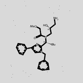 COCC(=O)N(C[C@H](O)CN)[C@@H](c1nc(-c2ccccc2)cn1Cc1ccccc1)C(C)(C)C